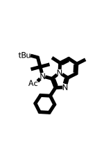 CC(=O)N(c1c(C2CCCCC2)nc2cc(C)cc(C)n12)C(C)(C)CC(C)(C)C